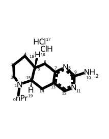 CCCN1CCC[C@@H]2Cc3nc(N)ncc3C[C@H]21.Cl.Cl